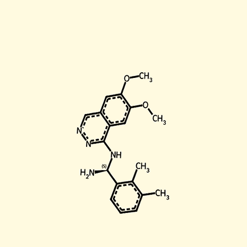 COc1cc2cnnc(N[C@H](N)c3cccc(C)c3C)c2cc1OC